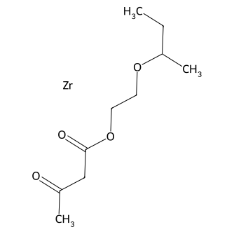 CCC(C)OCCOC(=O)CC(C)=O.[Zr]